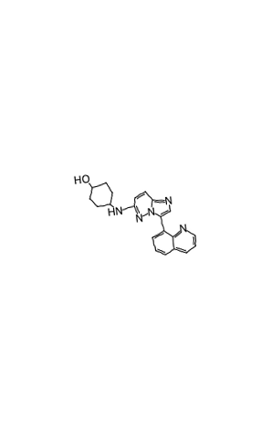 OC1CCC(Nc2ccc3ncc(-c4cccc5cccnc45)n3n2)CC1